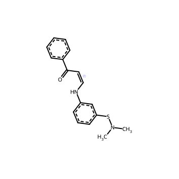 CN(C)Sc1cccc(N/C=C\C(=O)c2ccccc2)c1